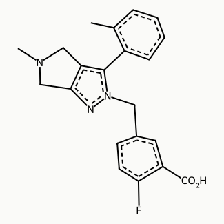 Cc1ccccc1-c1c2c(nn1Cc1ccc(F)c(C(=O)O)c1)CN(C)C2